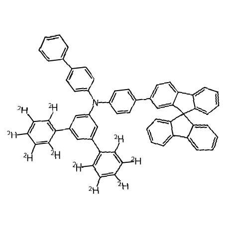 [2H]c1c([2H])c([2H])c(-c2cc(-c3c([2H])c([2H])c([2H])c([2H])c3[2H])cc(N(c3ccc(-c4ccccc4)cc3)c3ccc(-c4ccc5c(c4)C4(c6ccccc6-c6ccccc64)c4ccccc4-5)cc3)c2)c([2H])c1[2H]